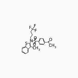 CC(=O)c1ccc(S(=O)(=O)N(CCCC(F)(F)F)c2sc3ccccc3c2C)cc1